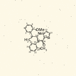 C=C(c1ccccc1OC)c1nc2ccsc2c(=O)n1-c1ccccc1C